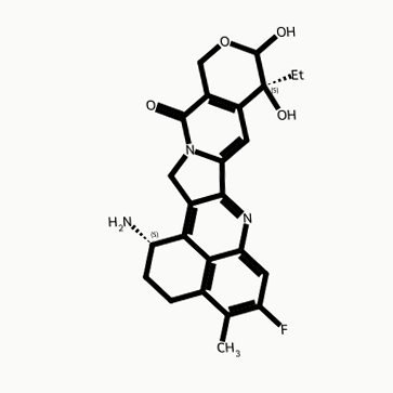 CC[C@]1(O)c2cc3n(c(=O)c2COC1O)Cc1c-3nc2cc(F)c(C)c3c2c1[C@@H](N)CC3